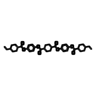 CCC1CCC(C(=O)Oc2ccc(OC(=O)C3CCC(C(=O)Oc4ccc(OC(=O)C5CCC(CC)CC5)cc4)CC3)cc2)CC1